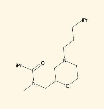 CC(C)CCCN1CCOC(CN(C)C(=O)C(C)C)C1